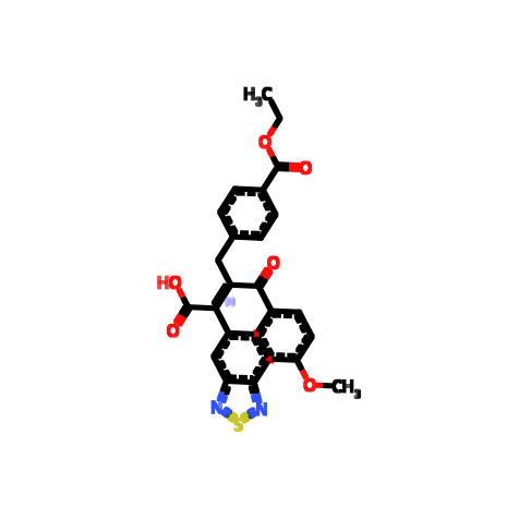 CCOC(=O)c1ccc(C/C(C(=O)c2ccc(OC)cc2)=C(\C(=O)O)c2ccc3nsnc3c2)cc1